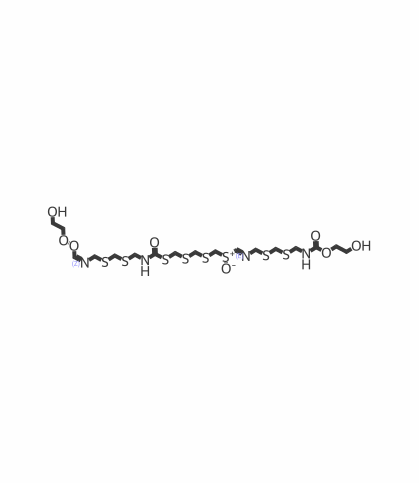 O=C(NCSCSC/N=C/[S+]([O-])CSCSCSC(=O)NCSCSC/N=C\OOCCO)OCCO